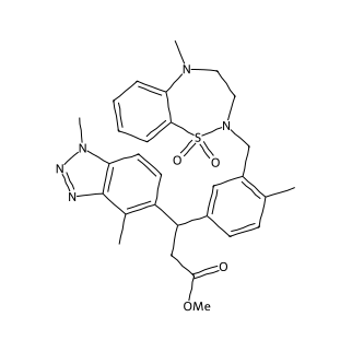 COC(=O)CC(c1ccc(C)c(CN2CCN(C)c3ccccc3S2(=O)=O)c1)c1ccc2c(nnn2C)c1C